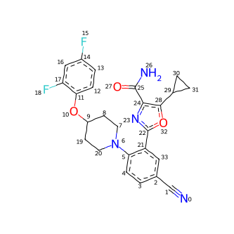 N#Cc1ccc(N2CCC(Oc3ccc(F)cc3F)CC2)c(-c2nc(C(N)=O)c(C3CC3)o2)c1